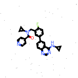 O=C(c1ccncc1)N(Cc1cc(-c2ccc3ncnc(NC4CC4)c3c2)ccc1F)C1CC1